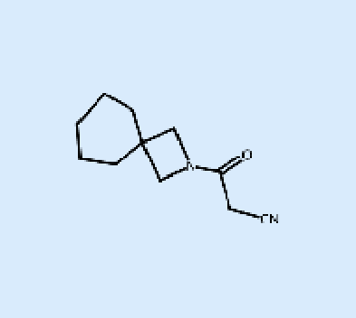 N#CCC(=O)N1CC2(CCCCC2)C1